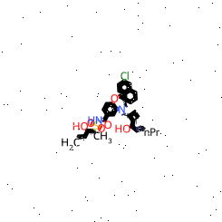 C=CC[C@@H](O)[C@H](C)S(=O)(=O)NC(=O)c1ccc2c(c1)N(C[C@@H]1CC[C@H]1[C@@H](O)/C=C/CCC)C[C@@]1(CCCc3cc(Cl)ccc31)CO2